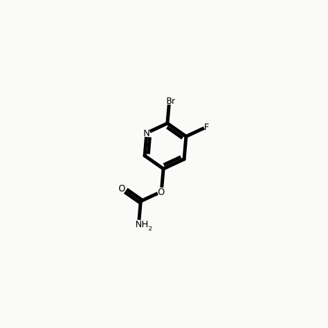 NC(=O)Oc1cnc(Br)c(F)c1